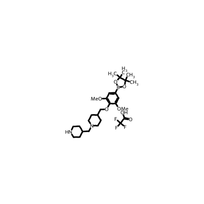 COc1cc(B2OC(C)(C)C(C)(C)O2)cc(OC)c1OCC1CCN(CC2CCNCC2)CC1.O=C(O)C(F)(F)F